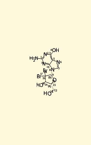 Nc1nc(O)c2ncn([C@@H]3O[C@H](CO)C(O)C3(Br)Br)c2n1